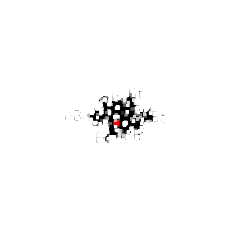 CCCCC(CC)COC(=O)c1cccc(-c2c(C(F)(F)F)ccc(C(=O)OCC(CC)CCCC)c2C(=O)OCC(CC)CCCC)c1C(=O)OCC(CC)CCCC